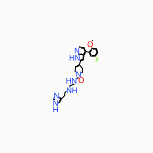 COc1ccc(F)cc1-c1ccnc2[nH]c(C3=CCN(C(=O)NCCNCCc4c[nH]cn4)CC3)cc12